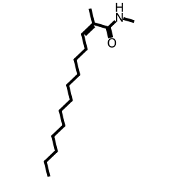 CCCCCCCCCCCC=C(C)C(=O)NC